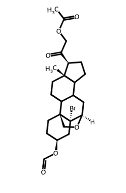 CC(=O)OCC(=O)[C@H]1CCC2C3C[C@H]4OC[C@@]5(CC[C@H](OC=O)C[C@]45Br)C3CC[C@@]21C